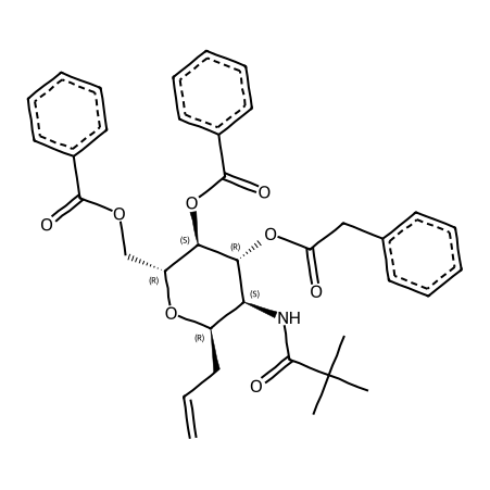 C=CC[C@H]1O[C@H](COC(=O)c2ccccc2)[C@@H](OC(=O)c2ccccc2)[C@H](OC(=O)Cc2ccccc2)[C@H]1NC(=O)C(C)(C)C